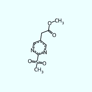 COC(=O)Cc1cnc(S(C)(=O)=O)nc1